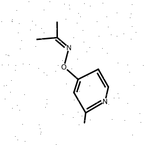 CC(C)=NOc1ccnc(C)c1